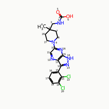 CC1(CNC(=O)O)CCN(c2cnc3c(-c4cccc(Cl)c4Cl)n[nH]c3n2)CC1